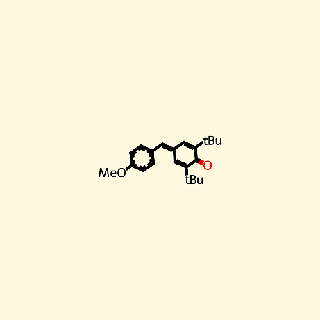 COc1ccc(C=C2C=C(C(C)(C)C)C(=O)C(C(C)(C)C)=C2)cc1